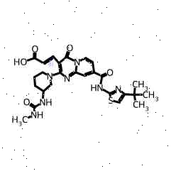 CNC(=O)NC1CCCN(c2nc3cc(C(=O)Nc4nc(C(C)(C)C)cs4)ccn3c(=O)c2/C=C/C(=O)O)C1